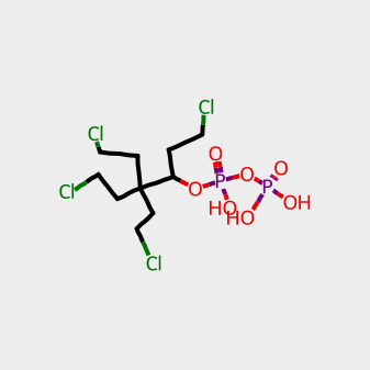 O=P(O)(O)OP(=O)(O)OC(CCCl)C(CCCl)(CCCl)CCCl